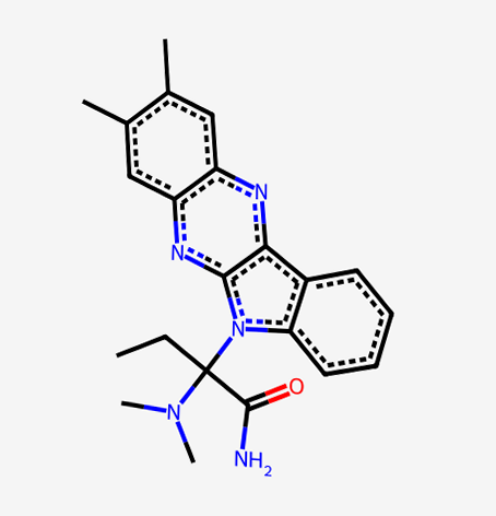 CCC(C(N)=O)(N(C)C)n1c2ccccc2c2nc3cc(C)c(C)cc3nc21